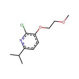 COCCOc1ccc(C(C)C)nc1Cl